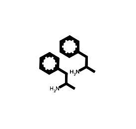 CC(N)Cc1ccccc1.CC(N)Cc1ccccc1